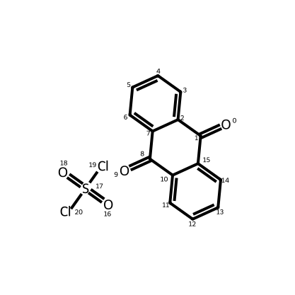 O=C1c2ccccc2C(=O)c2ccccc21.O=S(=O)(Cl)Cl